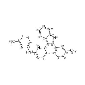 FC(F)(F)c1cccc(Nc2nccc(-c3c(-c4cccc(C(F)(F)F)c4)nn4ncccc34)n2)c1